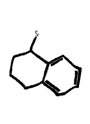 [S]C1CCCc2ccccc21